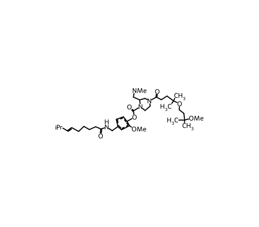 CNCC1CN(C(=O)CCC(C)(C)OCCC(C)(C)OC)CCN1C(=O)Oc1ccc(CNC(=O)CCCC/C=C/C(C)C)cc1OC